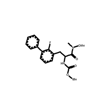 CON(C)C(=O)C(Cc1cccc(-c2ccccc2)c1F)NC(=O)OC(C)(C)C